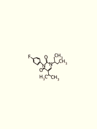 CCC(CC)n1cc(C(C)C)c(=O)n(-c2ccc(F)cc2)c1=O